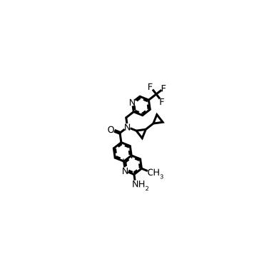 Cc1cc2cc(C(=O)N(Cc3ccc(C(F)(F)F)cn3)C3CC3C3CC3)ccc2nc1N